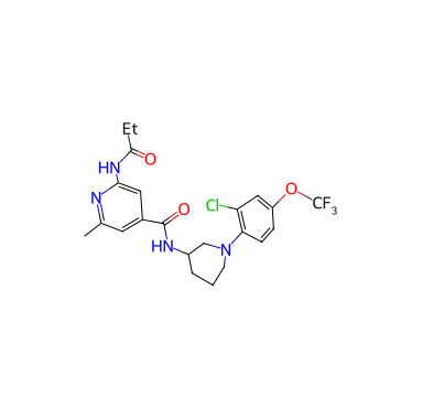 CCC(=O)Nc1cc(C(=O)NC2CCCN(c3ccc(OC(F)(F)F)cc3Cl)C2)cc(C)n1